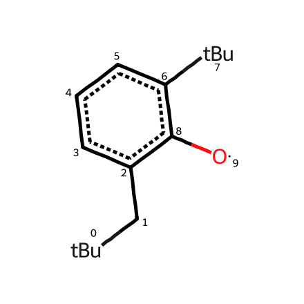 CC(C)(C)Cc1cccc(C(C)(C)C)c1[O]